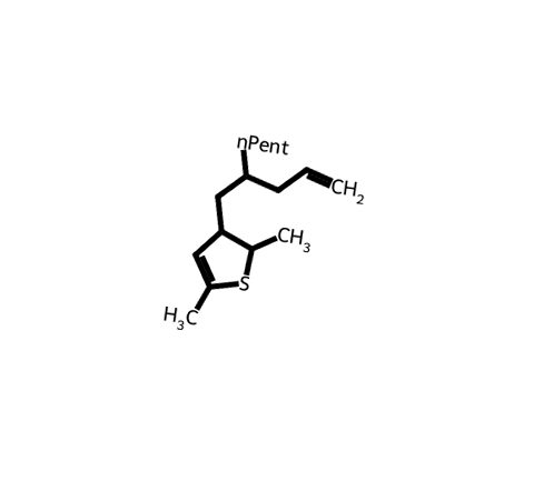 C=CCC(CCCCC)CC1C=C(C)SC1C